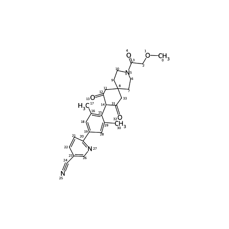 COCC(=O)N1CCC2(CC1)CC(=O)C(c1c(C)cc(-c3ccc(C#N)cn3)cc1C)C(=O)C2